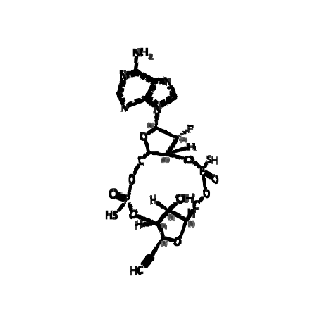 C#C[C@@H]1O[C@@H]2COP(=O)(S)O[C@@H]3C(COP(=O)(S)O[C@@H]1[C@@H]2O)O[C@@H](n1cnc2c(N)ncnc21)[C@@H]3F